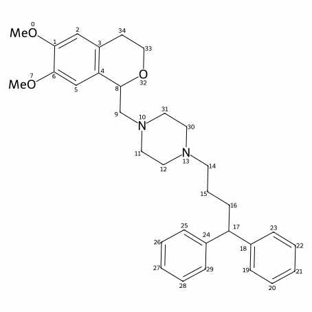 COc1cc2c(cc1OC)C(CN1CCN(CCCC(c3ccccc3)c3ccccc3)CC1)OCC2